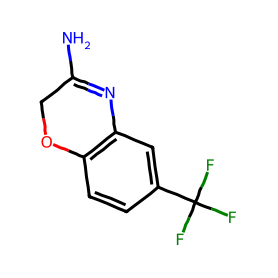 NC1=Nc2cc(C(F)(F)F)ccc2OC1